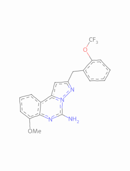 COc1cccc2c1nc(N)n1nc(Cc3ccccc3OC(F)(F)F)cc21